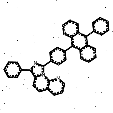 c1ccc(-c2c3ccccc3c(-c3ccc(-c4nc(-c5ccccc5)c5ccc6cccnc6n45)cc3)c3ccccc23)cc1